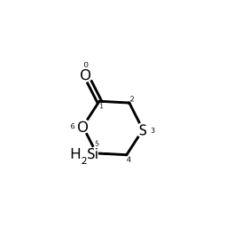 O=C1CSC[SiH2]O1